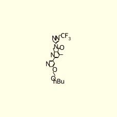 CCCCOCCOc1cncc(-c2cc(C)c3c(n2)CN(c2cnn(CC(F)(F)F)c2)C3=O)c1